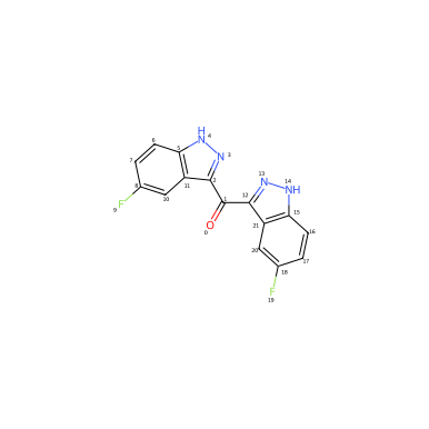 O=C(c1n[nH]c2ccc(F)cc12)c1n[nH]c2ccc(F)cc12